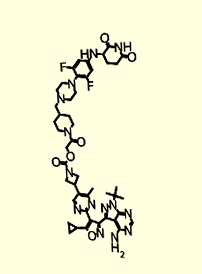 Cc1nc(-c2c(-c3nn(C(C)(C)C)c4ncnc(N)c34)noc2C2CC2)ncc1C1CN(C(=O)OCC(=O)N2CCC(CN3CCN(c4c(F)cc(N[C@@H]5CCC(=O)NC5=O)cc4F)CC3)CC2)C1